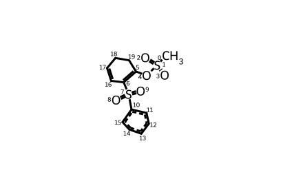 CS(=O)(=O)OC1=C(S(=O)(=O)c2ccccc2)C=CCC1